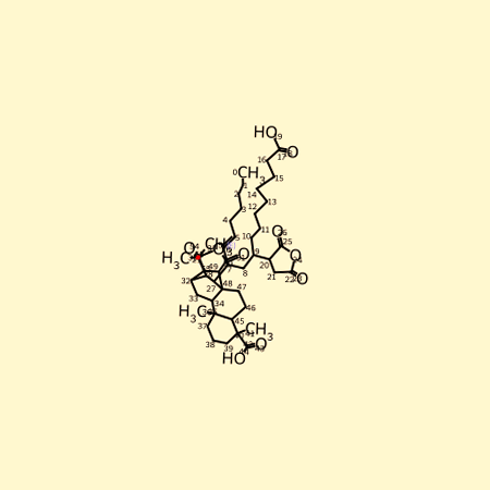 CCCCC/C=C/C(CC(CCCCCCCC(=O)O)C1CC(=O)OC1=O)C1C(C(C)C)C2CC3C4(C)CCCC(C)(C(=O)O)C4CCC13C1C(=O)OC(=O)C21